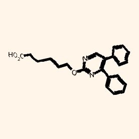 O=C(O)CCCCCOc1ncc(-c2ccccc2)c(-c2ccccc2)n1